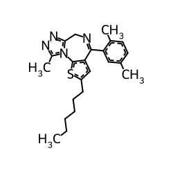 CCCCCCc1cc2c(s1)-n1c(C)nnc1CN=C2c1cc(C)ccc1C